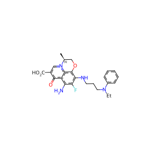 CCN(CCCNc1c(F)c(N)c2c(=O)c(C(=O)O)cn3c2c1OC[C@@H]3C)c1ccccc1